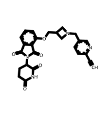 C#Cc1ccc(CN2CC(COc3cccc4c3C(=O)N(C3CCC(=O)NC3=O)C4=O)C2)cn1